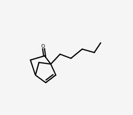 CCCCCC12C=CC(CC1=O)C2